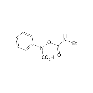 CCNC(=O)ON(C(=O)O)c1ccccc1